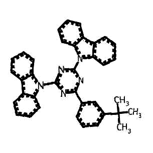 CC(C)(C)c1cccc(-c2nc(-n3c4ccccc4c4ccccc43)nc(-n3c4ccccc4c4ccccc43)n2)c1